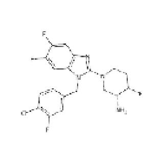 N[C@@H]1CN(c2nc3cc(F)c(F)cc3n2Cc2ccc(Cl)c(F)c2)CCC1F